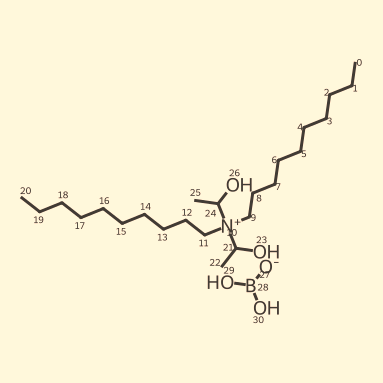 CCCCCCCCCC[N+](CCCCCCCCCC)(C(C)O)C(C)O.[O-]B(O)O